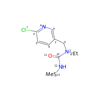 CCN(Cc1ccc(Cl)nc1)C(=O)NSC